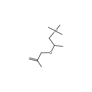 C=C(C)COC(C)C[N+](C)(C)C